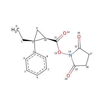 CC[C@@]1(c2ccccc2)C[C@H]1C(=O)ON1C(=O)CCC1=O